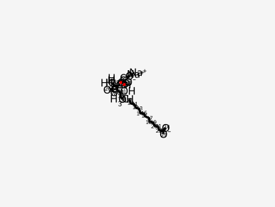 C=O.C=O.CC(=O)[O-].CCCCCCCCCCCCCCCC(=O)[O-].O=C1O[C@H]([C@@H](O)CO)C(O)=C1O.[Na+].[Na+]